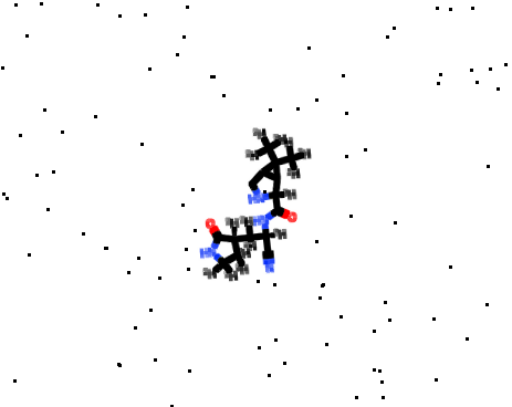 [2H]C1(C(=O)N[C@]([2H])(C#N)C([2H])([2H])[C@@]2([2H])C(=O)NC([2H])([2H])C2([2H])[2H])NCC2C1C2(C([2H])([2H])[2H])C([2H])([2H])[2H]